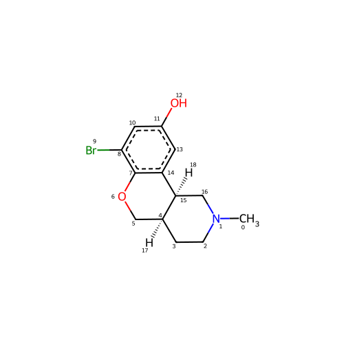 CN1CC[C@H]2COc3c(Br)cc(O)cc3[C@H]2C1